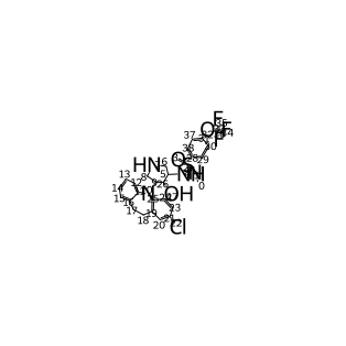 CN=S(=O)(NC1CNCC(N2c3ccccc3CCc3cc(Cl)ccc32)C1O)c1ccc(OC(F)(F)F)cc1